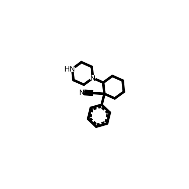 N#CC1(c2ccccc2)CCCCC1N1CCNCC1